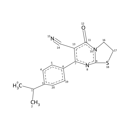 CC(C)c1ccc(-c2nc3n(c(=O)c2C#N)CCS3)cc1